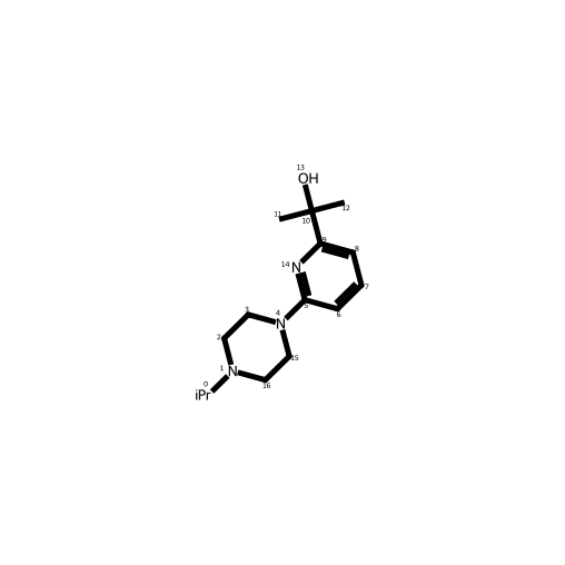 CC(C)N1CCN(c2cccc(C(C)(C)O)n2)CC1